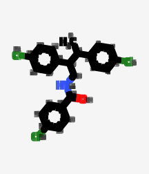 CC(c1ccc(Cl)cc1)C(CNC(=O)c1ccc(Cl)cc1)c1ccc(Cl)cc1